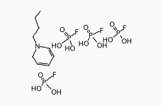 CCCCN1C=CC=CC1.O=P(O)(O)F.O=P(O)(O)F.O=P(O)(O)F.O=P(O)(O)F